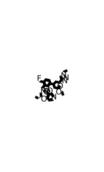 CCOC(=O)CC(CCc1cn(CC)nn1)c1ccc(CF)c(CN2C[C@@H](CC)Oc3ccncc3S2(=O)=O)c1